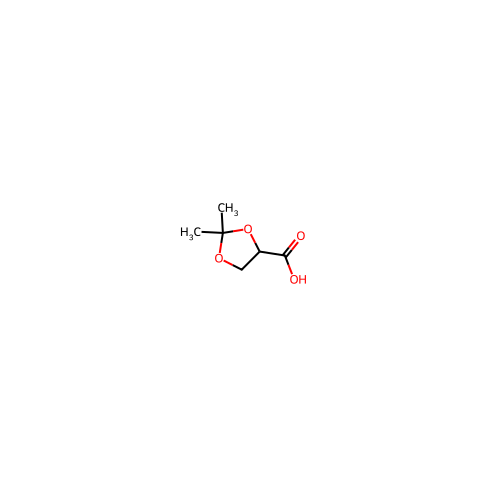 CC1(C)OCC(C(=O)O)O1